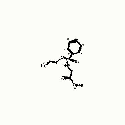 COC(=O)CNP(=S)(OCCC#N)c1ccccc1